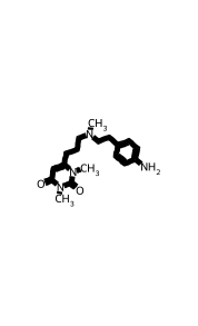 CN(CCCc1cc(=O)n(C)c(=O)n1C)CCc1ccc(N)cc1